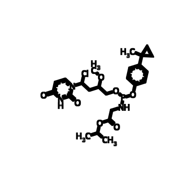 COC(COP(NCC(=O)OC(C)C)Oc1ccc(C2(C)CC2)cc1)CC(Cl)n1ccc(=O)[nH]c1=O